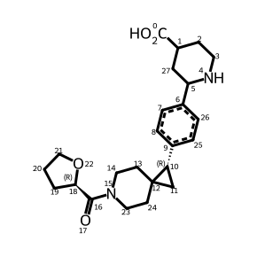 O=C(O)C1CCNC(c2ccc([C@@H]3CC34CCN(C(=O)[C@H]3CCCO3)CC4)cc2)C1